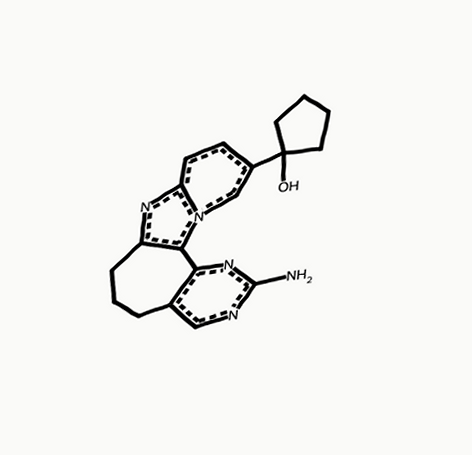 Nc1ncc2c(n1)-c1c(nc3ccc(C4(O)CCCC4)cn13)CCC2